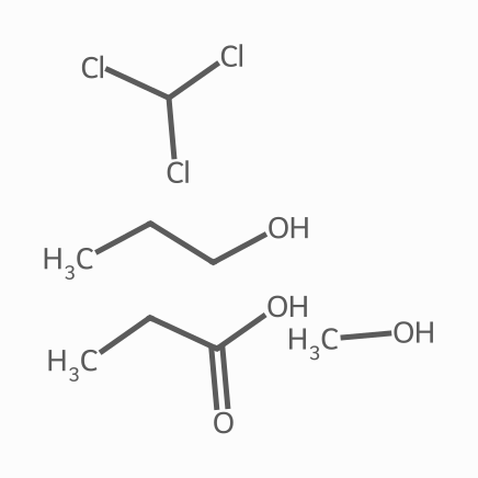 CCC(=O)O.CCCO.CO.ClC(Cl)Cl